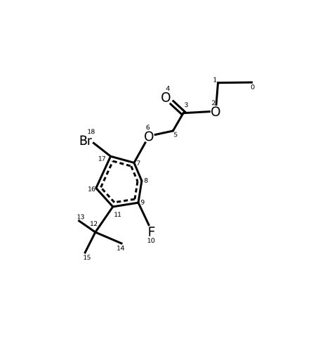 CCOC(=O)COc1cc(F)c(C(C)(C)C)cc1Br